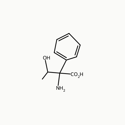 CC(O)C(N)(C(=O)O)c1ccccc1